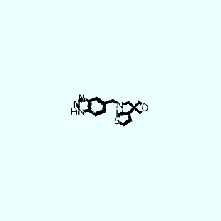 c1cc(C2(CNCc3ccc4[nH]nnc4c3)COC2)cs1